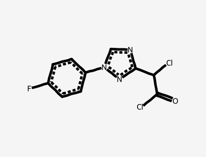 O=C(Cl)C(Cl)c1ncn(-c2ccc(F)cc2)n1